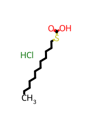 CCCCCCCCCCCCSC(=O)O.Cl